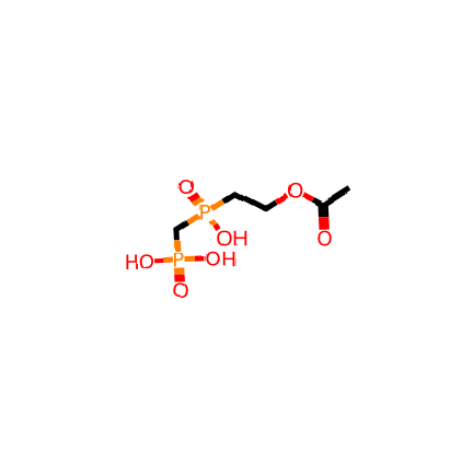 CC(=O)OCCP(=O)(O)CP(=O)(O)O